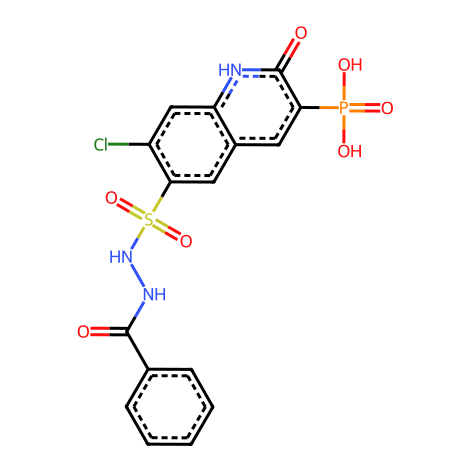 O=C(NNS(=O)(=O)c1cc2cc(P(=O)(O)O)c(=O)[nH]c2cc1Cl)c1ccccc1